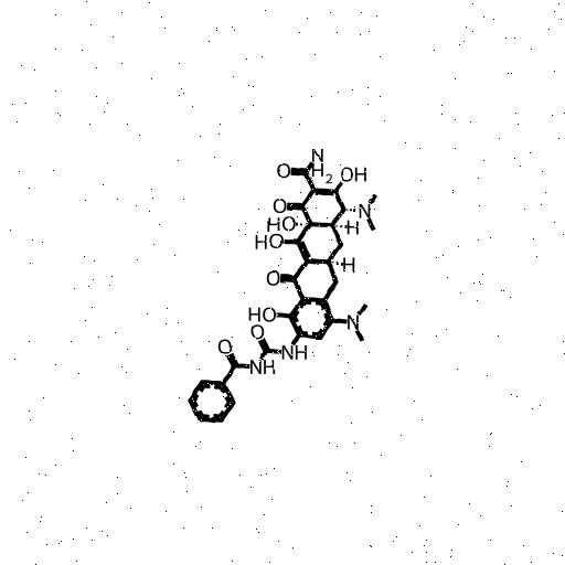 CN(C)c1cc(NC(=O)NC(=O)c2ccccc2)c(O)c2c1C[C@@H]1C[C@@H]3[C@@H](N(C)C)C(O)=C(C(N)=O)C(=O)[C@]3(O)C(O)=C1C2=O